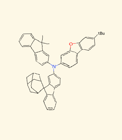 CC(C)(C)c1ccc2c(c1)oc1cc(N(c3ccc4c(c3)C(C)(C)c3ccccc3-4)c3ccc4c(c3)C3(c5ccccc5-4)C4CC5CC(C4)CC3C5)ccc12